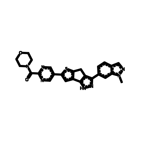 Cn1ncc2ccc(-c3n[nH]c4c3Cc3sc(-c5cnc(C(=O)N6CCOCC6)nc5)cc3-4)cc21